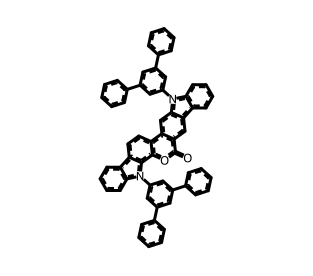 O=c1oc2c(ccc3c4ccccc4n(-c4cc(-c5ccccc5)cc(-c5ccccc5)c4)c32)c2cc3c(cc12)c1ccccc1n3-c1cc(-c2ccccc2)cc(-c2ccccc2)c1